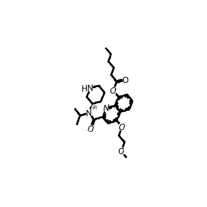 CCCCCC(=O)Oc1cccc2c(OCCOC)cc(C(=O)N(C(C)C)[C@@H]3CCCNC3)nc12